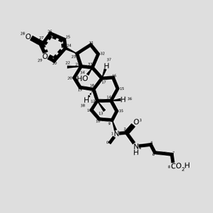 CN(C(=O)NCCCC(=O)O)[C@H]1CC[C@@]2(C)[C@H](CC[C@@H]3[C@@H]2CC[C@]2(C)[C@@H](c4ccc(=O)oc4)CC[C@]32O)C1